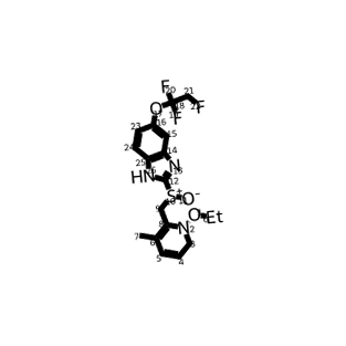 CCON1CC=CC(C)=C1C[S+]([O-])c1nc2cc(OC(F)(F)CF)ccc2[nH]1